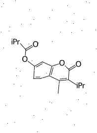 Cc1c(C(C)C)c(=O)oc2cc(OC(=O)C(C)C)ccc12